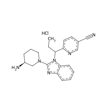 CCC(c1ccc(C#N)cn1)n1c(N2CCC[C@H](N)C2)nc2ccccc21.Cl